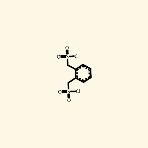 O=S(=O)(Cl)Cc1ccccc1CS(=O)(=O)Cl